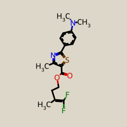 CC(CCOC(=O)c1sc(-c2ccc(N(C)C)cc2)nc1C)=C(F)F